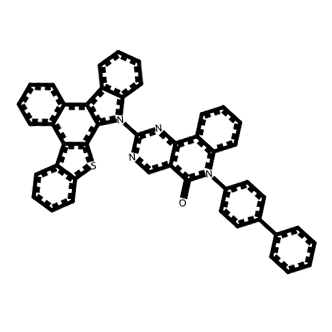 O=c1c2cnc(-n3c4ccccc4c4c5ccccc5c5c6ccccc6sc5c43)nc2c2ccccc2n1-c1ccc(-c2ccccc2)cc1